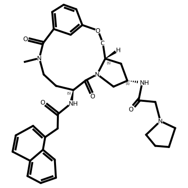 CN1CC[C@H](NC(=O)Cc2cccc3ccccc23)C(=O)N2C[C@@H](NC(=O)CN3CCCC3)C[C@H]2COc2cccc(c2)C1=O